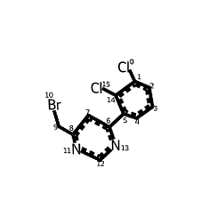 Clc1cccc(-c2cc(CBr)ncn2)c1Cl